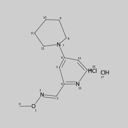 CON=Cc1cc(N2CCCCC2)ccn1.Cl.Cl